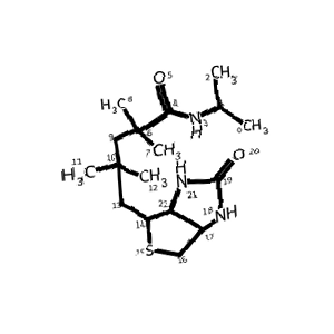 CC(C)NC(=O)C(C)(C)CC(C)(C)CC1SCC2NC(=O)NC21